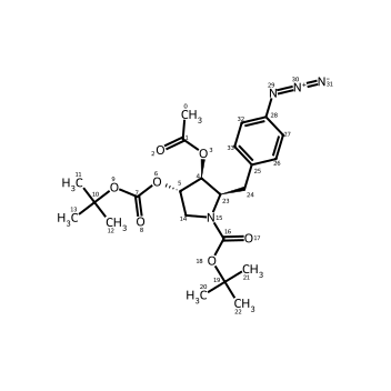 CC(=O)O[C@@H]1[C@@H](OC(=O)OC(C)(C)C)CN(C(=O)OC(C)(C)C)[C@@H]1Cc1ccc(N=[N+]=[N-])cc1